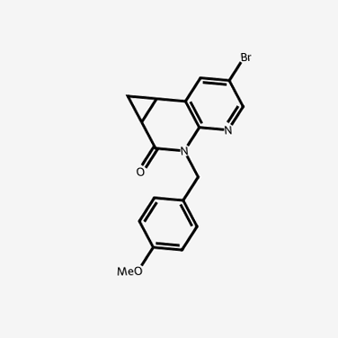 COc1ccc(CN2C(=O)C3CC3c3cc(Br)cnc32)cc1